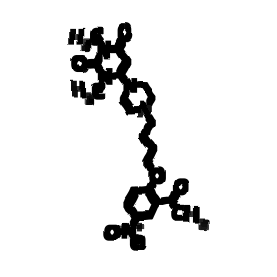 CC(=O)c1cc([N+](=O)[O-])ccc1OCCCCN1CCN(c2cc(=O)n(C)c(=O)n2C)CC1